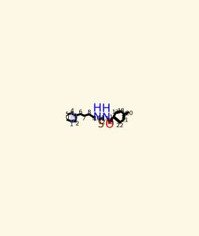 C/C=C\C(=C/C)CCCCNC(=S)NC(=O)c1ccc(C)cc1